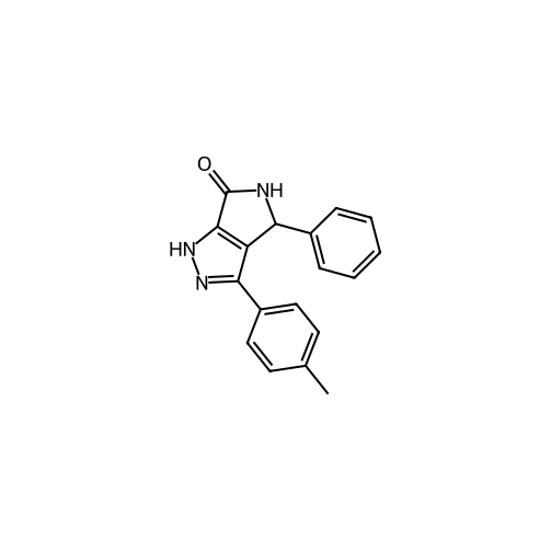 Cc1ccc(-c2n[nH]c3c2C(c2ccccc2)NC3=O)cc1